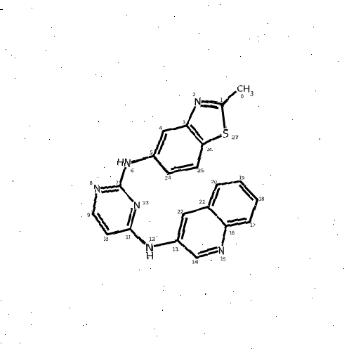 Cc1nc2cc(Nc3nccc(Nc4cnc5ccccc5c4)n3)ccc2s1